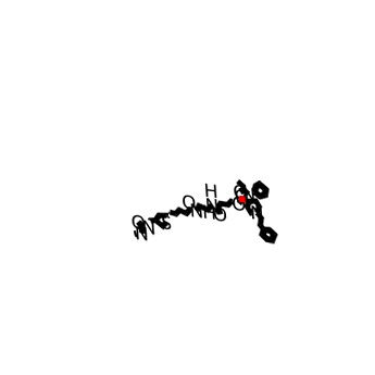 C=NC(=O)/N=C/C1CS[C@@H](CCCCC(=O)NCCNC(=O)CCCOC(=O)C2(N(C(=O)CC)c3ccccc3)CCN(CCc3ccccc3)CC2)C1